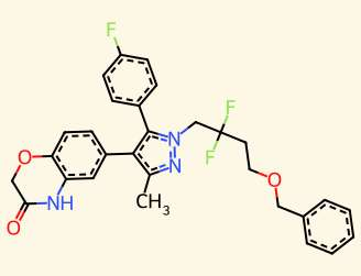 Cc1nn(CC(F)(F)CCOCc2ccccc2)c(-c2ccc(F)cc2)c1-c1ccc2c(c1)NC(=O)CO2